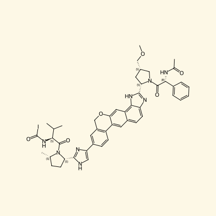 COC[C@H]1C[C@@H](c2nc3ccc4cc5c(cc4c3[nH]2)OCc2cc(-c3c[nH]c([C@@H]4CC[C@H](C)N4C(=O)[C@@H](NC(=O)I)C(C)C)n3)ccc2-5)N(C(=O)[C@H](NC(C)=O)c2ccccc2)C1